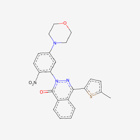 Cc1ccc(-c2nn(-c3cc(N4CCOCC4)ccc3[N+](=O)[O-])c(=O)c3ccccc23)s1